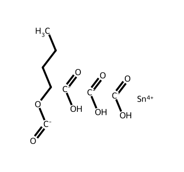 CCCCO[C-]=O.O=[C-]O.O=[C-]O.O=[C-]O.[Sn+4]